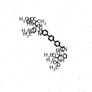 COC(=O)N[C@H](C(=O)N1C[Si](C)(C)C[C@H]1c1nc2cc(-c3ccc(-c4ccc(-c5cnc([C@@H]6CCCN6C(=O)[C@@H](NC(=O)OC)C(C)OC)[nH]5)cc4)cc3)ccc2[nH]1)C(C)C